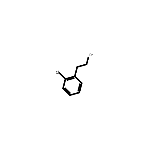 CC(C)CCc1[c]cccc1Cl